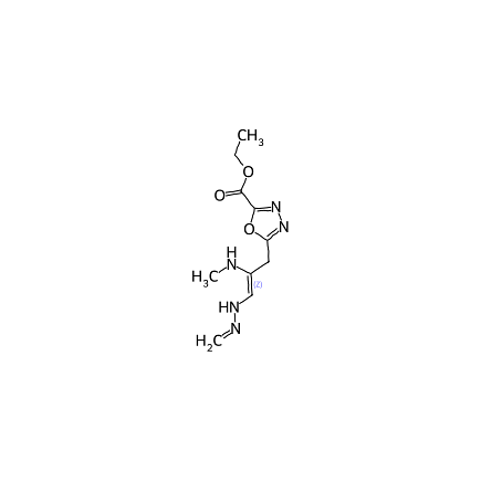 C=NN/C=C(/Cc1nnc(C(=O)OCC)o1)NC